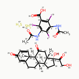 CC(=O)Nc1c(I)c(NC(C)=O)c(I)c(C(=O)O)c1I.C[C@]12C=CC(=O)C=C1CC[C@@H]1[C@@H]2C(=O)C[C@@]2(C)[C@H]1CC[C@]2(O)C(=O)CO.S.S